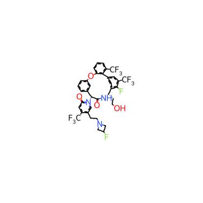 O=C1N[C@@H](CCO)c2cc(cc(C(F)(F)F)c2F)-c2c(cccc2C(F)(F)F)Oc2cccc(c2)[C@H]1n1cc(CCN2CC(F)C2)c(C(F)(F)F)cc1=O